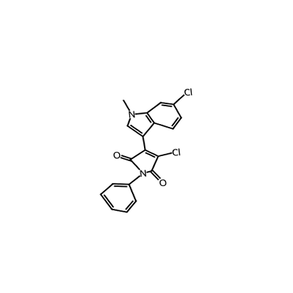 Cn1cc(C2=C(Cl)C(=O)N(c3ccccc3)C2=O)c2ccc(Cl)cc21